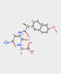 COc1ccc2cc([C@H](C)C(=O)N[C@H](CC(N)=O)C(=O)N[C@@H](C)C(=O)O)ccc2c1